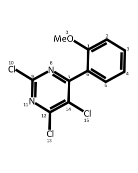 COc1ccccc1-c1nc(Cl)nc(Cl)c1Cl